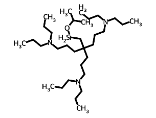 CCCN(CCC)CCCC(CCCN(CCC)CCC)(CCCN(CCC)CCC)C[SiH2]OC(C)C